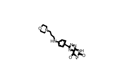 Cn1c(=O)[nH]c2nnc(-c3ccc(NCCCN4CCOCC4)cc3)nc2c1=O